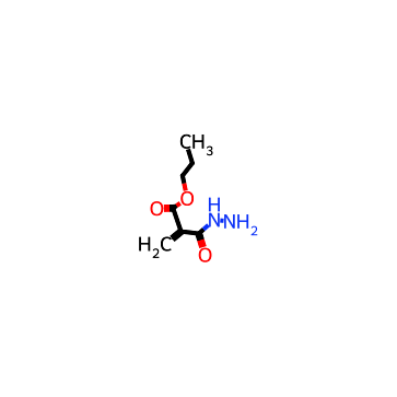 C=C(C(=O)NN)C(=O)OCCC